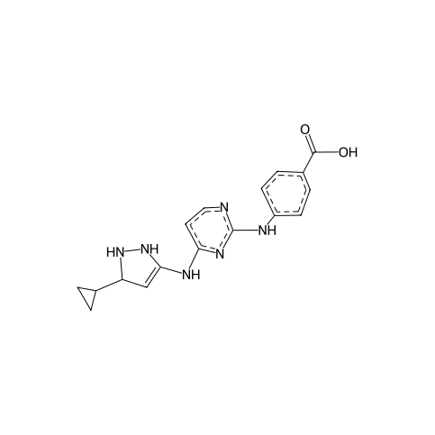 O=C(O)c1ccc(Nc2nccc(NC3=CC(C4CC4)NN3)n2)cc1